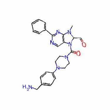 CN1c2nc(-c3ccccc3)ncc2N(C(=O)N2CCN(c3ccc(CN)cc3)CC2)C1C=O